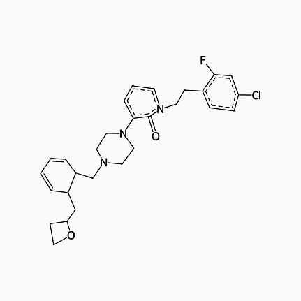 O=c1c(N2CCN(CC3C=CC=CC3CC3CCO3)CC2)cccn1CCc1ccc(Cl)cc1F